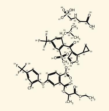 CCOC(=O)C(C)OC(=O)c1cc(Oc2ccc(C(F)(F)F)cc2Cl)ccc1[N+](=O)[O-].CS(=O)(=O)c1cc(C(F)(F)F)ccc1C(=O)c1cnoc1C1CC1.C[S+](C)C.O=C(O)CNCP(=O)([O-])O